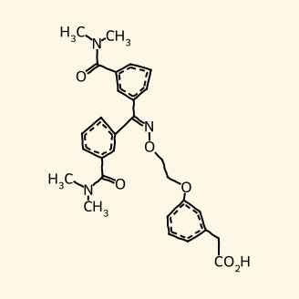 CN(C)C(=O)c1cccc(C(=NOCCOc2cccc(CC(=O)O)c2)c2cccc(C(=O)N(C)C)c2)c1